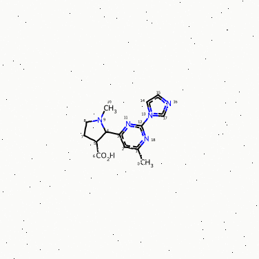 Cc1cc(C2C(C(=O)O)CCN2C)nc(-n2ccnc2)n1